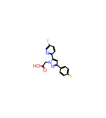 O=C(O)Cn1nc(-c2ccc(F)cc2)cc1-c1ccc(F)cn1